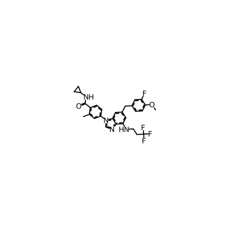 COc1ccc(Cc2cc(NCCC(F)(F)F)c3ncn(-c4ccc(C(=O)NC5CC5)c(C)c4)c3c2)cc1F